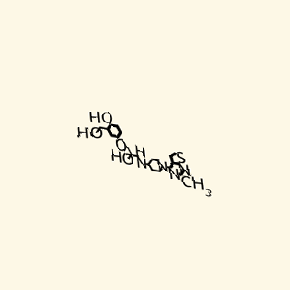 Cc1nc(N2CCC(NCC(O)COc3ccc(O)c(CO)c3)CC2)c2ccsc2n1